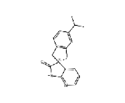 CC(C)c1ccc2c(n1)C[C@@]1(C2)C(=O)Nc2ncccc21